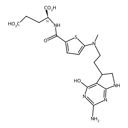 CN(CCC1CNc2nc(N)nc(O)c21)c1ccc(C(=O)N[C@@H](CCC(=O)O)C(=O)O)s1